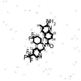 Cc1cc2cc(C(=O)N(Cc3ccc(C(F)(F)F)cn3)C3CCC(F)(F)CC3)ccc2nc1N